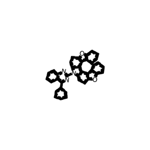 c1ccc(-c2nc(-n3c4ccc5oc6ccccc6c5c4c4c5c(ccc43)oc3ccccc35)nc3ccccc23)cc1